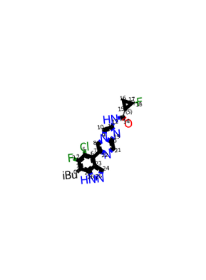 CCC(C)c1c(F)c(Cl)c(-c2cn3cc(NC(=O)[C@@H]4C[C@@H]4F)nc3cn2)c2cn[nH]c12